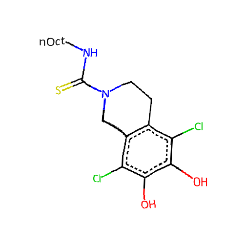 CCCCCCCCNC(=S)N1CCc2c(Cl)c(O)c(O)c(Cl)c2C1